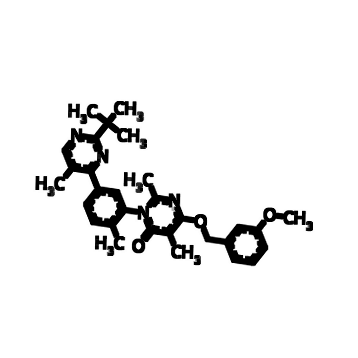 COc1cccc(COc2nc(C)n(-c3cc(-c4nc(C(C)(C)C)ncc4C)ccc3C)c(=O)c2C)c1